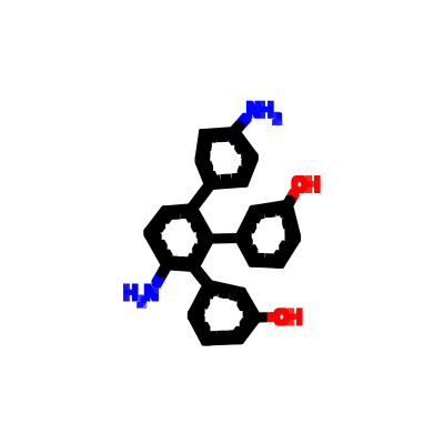 Nc1ccc(-c2ccc(N)c(-c3cccc(O)c3)c2-c2cccc(O)c2)cc1